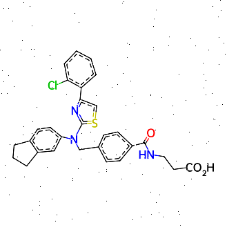 O=C(O)CCNC(=O)c1ccc(CN(c2ccc3c(c2)CCC3)c2nc(-c3ccccc3Cl)cs2)cc1